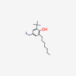 CCCCCCCc1cc(CI)cc(C(C)(C)C)c1O